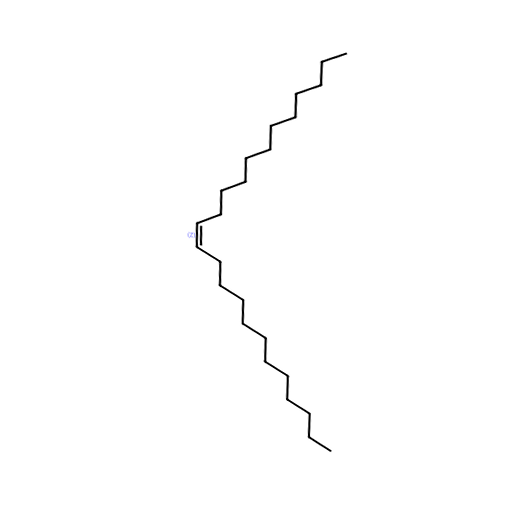 CCCCCCCCCCC/C=C\CCCCCCCCCCC